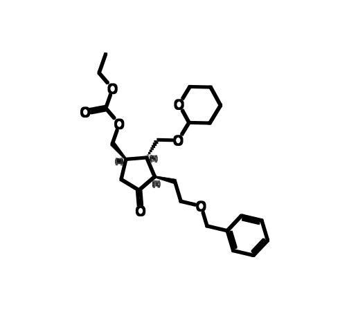 CCOC(=O)OC[C@@H]1CC(=O)[C@H](CCOCc2ccccc2)[C@H]1COC1CCCCO1